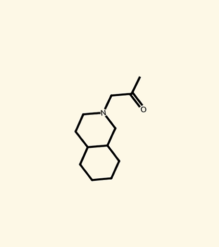 CC(=O)CN1CCC2CCCCC2C1